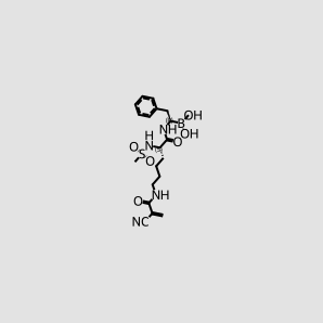 C=C(C#N)C(=O)NCCCC[C@H](NS(C)(=O)=O)C(=O)N[C@@H](Cc1ccccc1)B(O)O